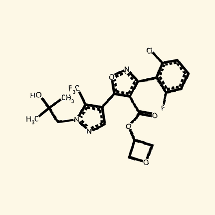 CC(C)(O)Cn1ncc(-c2onc(-c3c(F)cccc3Cl)c2C(=O)OC2COC2)c1C(F)(F)F